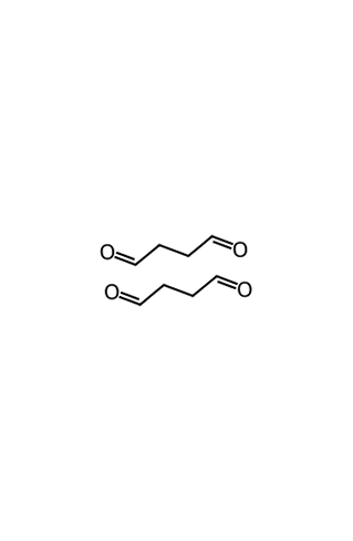 O=CCCC=O.O=CCCC=O